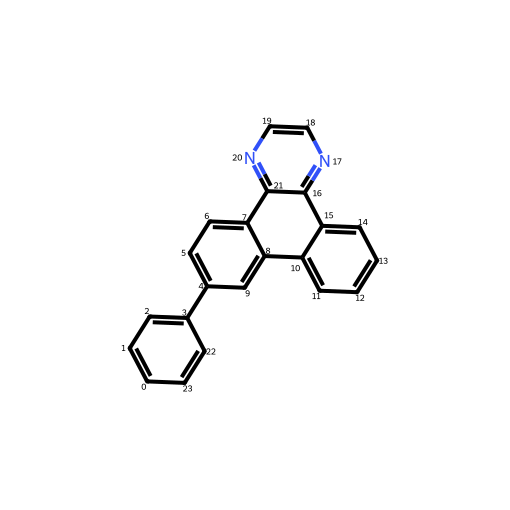 c1ccc(-c2ccc3c(c2)c2ccccc2c2nccnc32)cc1